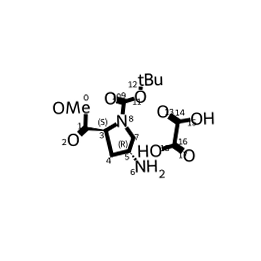 COC(=O)[C@@H]1C[C@@H](N)CN1C(=O)OC(C)(C)C.O=C(O)C(=O)O